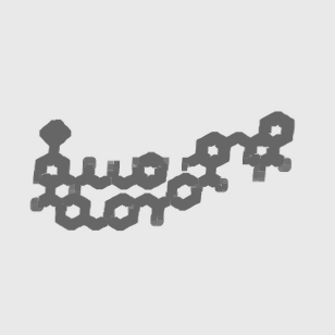 O=C(CNCc1ccncn1)Nc1cc(C23CC(C2)C3)cnc1C(=O)N1CCC(CN2CCN(CC(=O)N3CCN(C(=O)c4cc(Cc5n[nH]c(=O)c6ccccc56)ccc4F)CC3)CC2)CC1